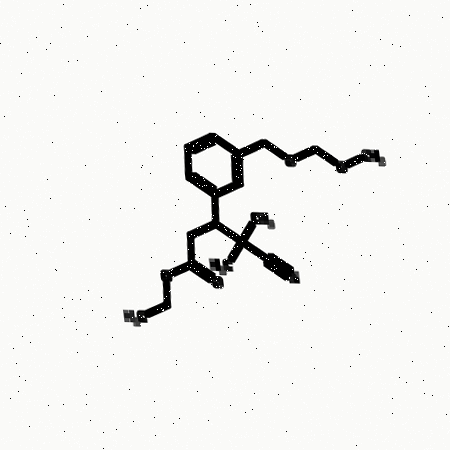 CCOC(=O)CC(c1cccc(COCOC)c1)C(C)(C)C#N